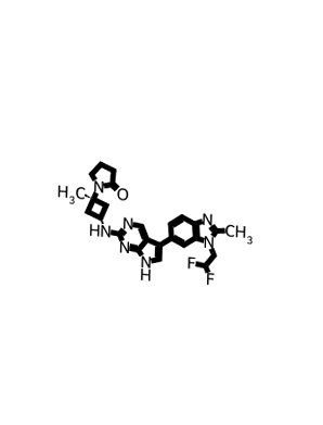 Cc1nc2ccc(-c3c[nH]c4nc(N[C@H]5C[C@](C)(N6CCCC6=O)C5)ncc34)cc2n1CC(F)F